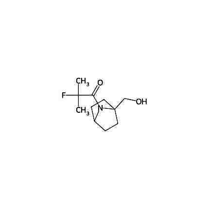 CC(C)(F)C(=O)N1C2CCC1(CO)CC2